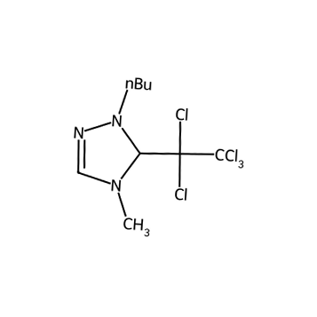 CCCCN1N=CN(C)C1C(Cl)(Cl)C(Cl)(Cl)Cl